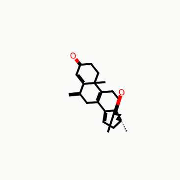 C=C1CC2=C(CC[C@@]34C(=O)CC[C@]3(C)CC=C24)C2(C)CCC(=O)C=C12